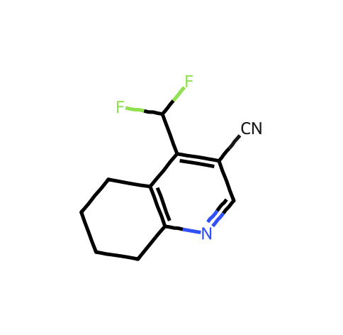 N#Cc1cnc2c(c1C(F)F)CCCC2